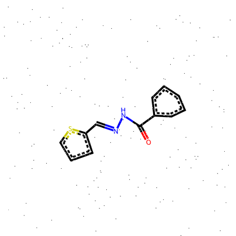 O=C(NN=Cc1cccs1)c1ccccc1